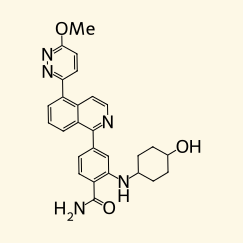 COc1ccc(-c2cccc3c(-c4ccc(C(N)=O)c(NC5CCC(O)CC5)c4)nccc23)nn1